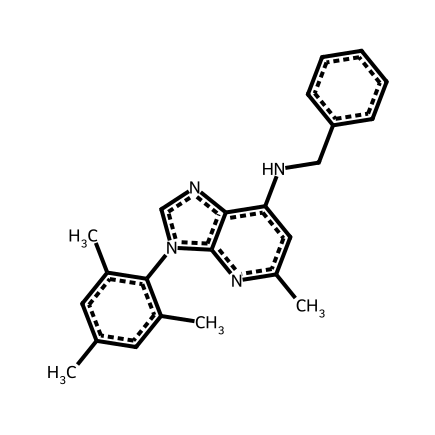 Cc1cc(C)c(-n2cnc3c(NCc4ccccc4)cc(C)nc32)c(C)c1